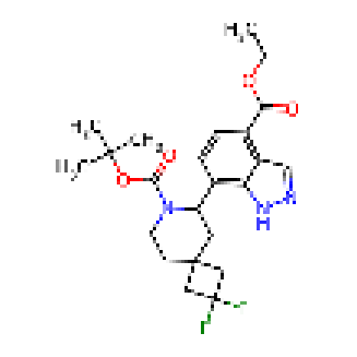 CCOC(=O)c1ccc(C2CC3(CCN2C(=O)OC(C)(C)C)CC(F)(F)C3)c2[nH]ncc12